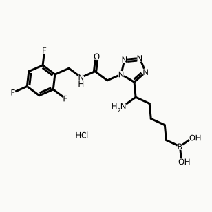 Cl.NC(CCCCB(O)O)c1nnnn1CC(=O)NCc1c(F)cc(F)cc1F